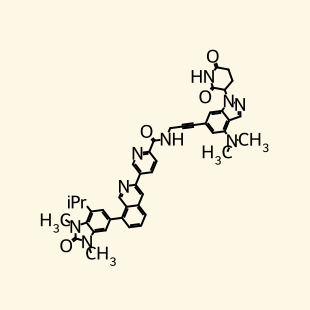 CC(C)c1cc(-c2cccc3cc(-c4ccc(C(=O)NCC#Cc5cc(N(C)C)c6cnn(C7CCC(=O)NC7=O)c6c5)nc4)ncc23)cc2c1n(C)c(=O)n2C